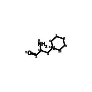 NC(C=O)CN1CCCCC1